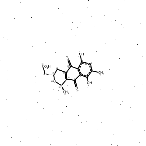 Cc1cc(O)c2c(c1O)C(=O)C1=C(C[C@@H](CC(=O)O)O[C@@H]1C)C2=O